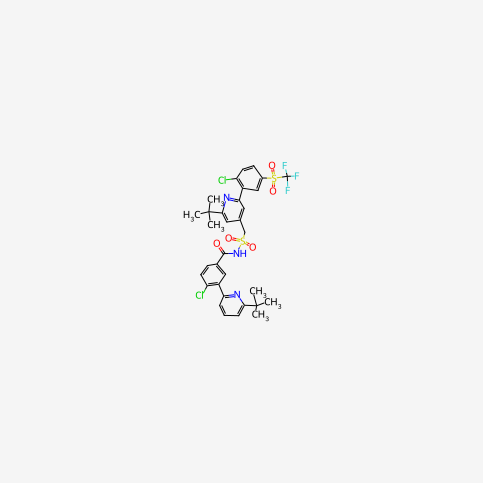 CC(C)(C)c1cccc(-c2cc(C(=O)NS(=O)(=O)Cc3cc(-c4cc(S(=O)(=O)C(F)(F)F)ccc4Cl)nc(C(C)(C)C)c3)ccc2Cl)n1